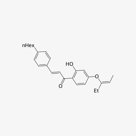 C/C=C(/CC)Oc1ccc(C(=O)/C=C/c2ccc(CCCCCC)cc2)c(O)c1